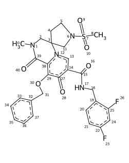 CN1CC2(CCN(S(C)(=O)=O)C2)n2cc(C(=O)NCc3ccc(F)cc3F)c(=O)c(OCc3ccccc3)c2C1=O